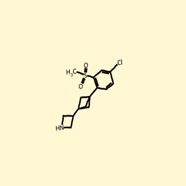 CS(=O)(=O)c1cc(Cl)ccc1C12CC(C3CNC3)(C1)C2